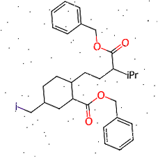 CC(C)C(CCC1CCC(CI)CC1C(=O)OCc1ccccc1)C(=O)OCc1ccccc1